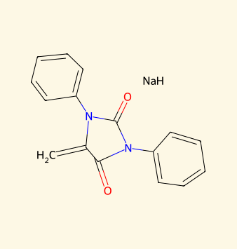 C=C1C(=O)N(c2ccccc2)C(=O)N1c1ccccc1.[NaH]